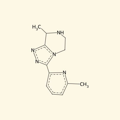 Cc1cccc(-c2nnc3n2CCNC3C)n1